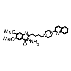 COc1cc2nc(CCCCN3CCN(c4ccc5ccccc5n4)CC3)n(N)c(=O)c2cc1OC